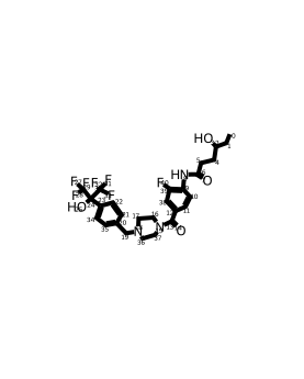 CCC(O)CCC(=O)Nc1ccc(C(=O)N2CCN(Cc3ccc(C(O)(C(F)(F)F)C(F)(F)F)cc3)CC2)cc1F